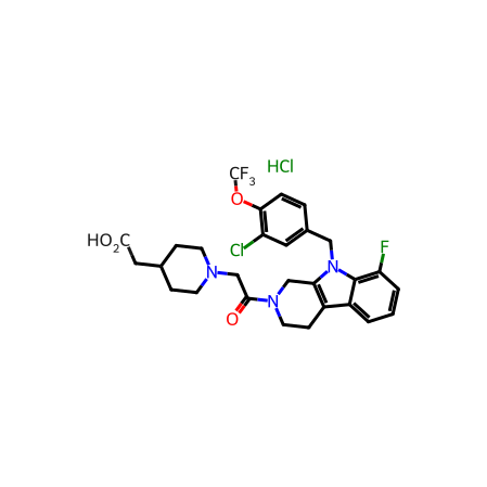 Cl.O=C(O)CC1CCN(CC(=O)N2CCc3c(n(Cc4ccc(OC(F)(F)F)c(Cl)c4)c4c(F)cccc34)C2)CC1